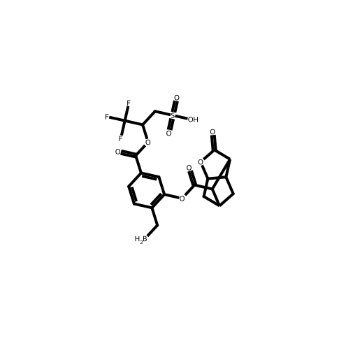 BCc1ccc(C(=O)OC(CS(=O)(=O)O)C(F)(F)F)cc1OC(=O)C1C2CC3OC(=O)C1C3C2